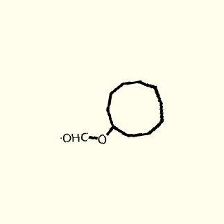 O=[C]OC1CCCCCCCCC1